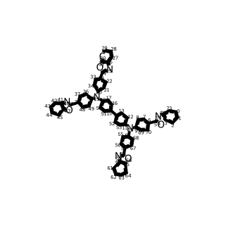 c1ccc2oc(-c3ccc(N(c4ccc(-c5ccc(N(c6ccc(-c7nc8ccccc8o7)cc6)c6ccc(-c7nc8ccccc8o7)cc6)cc5)cc4)c4ccc(-c5nc6ccccc6o5)cc4)cc3)nc2c1